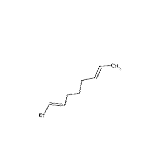 CC=CCCCC=CCC